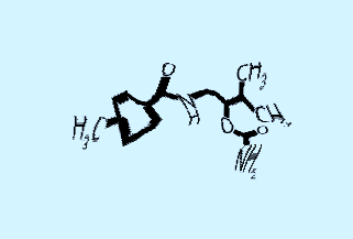 Cc1ccc(C(=O)NCC(OC(N)=O)C(C)C)cc1